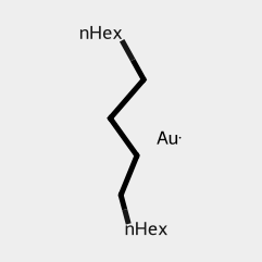 CCCCCCCCCCCCCCCC.[Au]